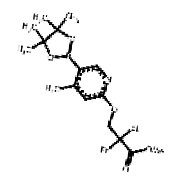 CCC(CC)(COc1cc(C)c(B2OC(C)(C)C(C)(C)O2)cn1)C(=O)OC